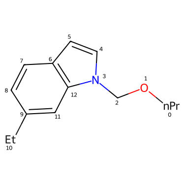 CCCOCn1ccc2ccc(CC)cc21